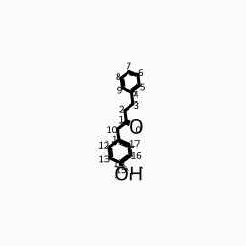 O=C(CCc1ccccc1)Cc1ccc(O)cc1